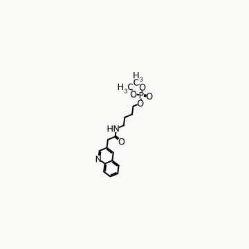 COP(=O)(OC)OCCCCNC(=O)Cc1cnc2ccccc2c1